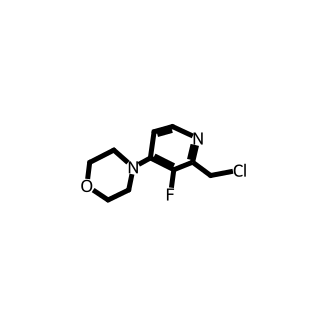 Fc1c(N2CCOCC2)ccnc1CCl